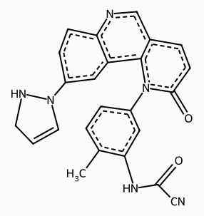 Cc1ccc(-n2c(=O)ccc3cnc4ccc(N5C=CCN5)cc4c32)cc1NC(=O)C#N